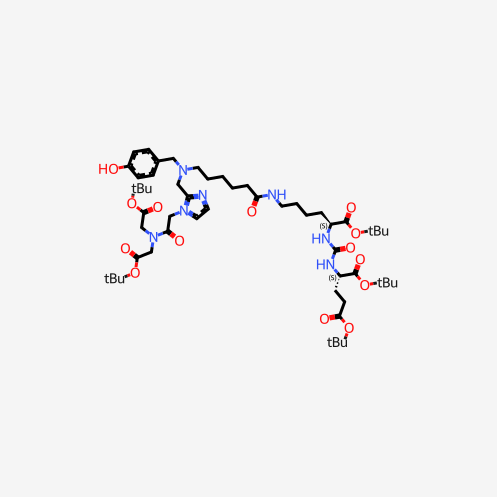 CC(C)(C)OC(=O)CC[C@H](NC(=O)N[C@@H](CCCCNC(=O)CCCCCN(Cc1ccc(O)cc1)Cc1nccn1CC(=O)N(CC(=O)OC(C)(C)C)CC(=O)OC(C)(C)C)C(=O)OC(C)(C)C)C(=O)OC(C)(C)C